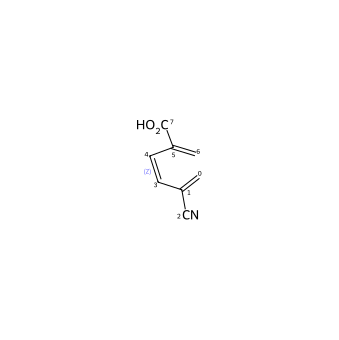 C=C(C#N)/C=C\C(=C)C(=O)O